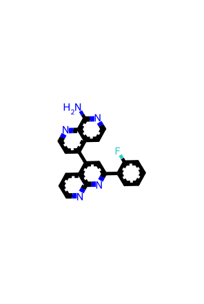 Nc1nccc2c(-c3cc(-c4ccccc4F)nc4ncccc34)ccnc12